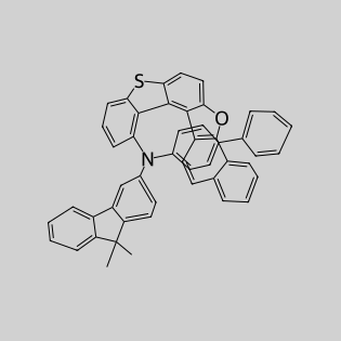 CC1(C)c2ccccc2-c2cc(N(c3ccc(-c4ccccc4)cc3)c3cccc4sc5ccc6oc7c8ccccc8ccc7c6c5c34)ccc21